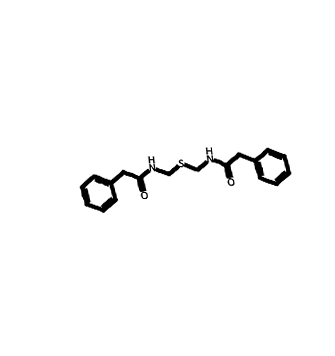 O=C(Cc1ccccc1)NCSCNC(=O)Cc1ccccc1